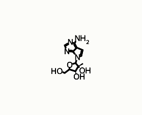 C[C@]1(O)C(n2ccc3c(N)ncnc32)OC(CO)[C@H]1O